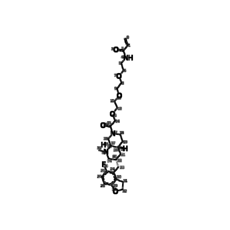 C=CC(=O)NCCOCCOCCOCC(=O)N1CC[C@@H]2C[C@H](Cc3c(F)ccc4c3CCO4)CN(C)[C@H]2C1